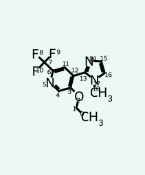 CCOc1cnc(C(F)(F)F)cc1-c1nccn1C